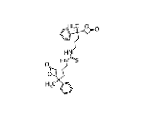 CC(CCCNC(=S)NCCCC(C)(c1ccccc1)C1CC(=O)O1)(c1ccccc1)C1CC(=O)O1